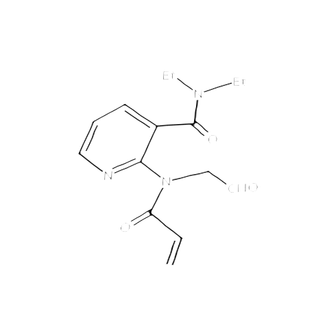 C=CC(=O)N(C[C]=O)c1ncccc1C(=O)N(CC)CC